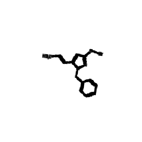 CC(C)Oc1cc(C=CC(=O)O)n(Cc2ccccc2)n1